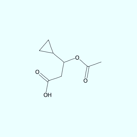 CC(=O)OC(CC(=O)O)C1CC1